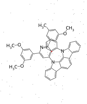 COc1cc(C)cc(-c2cc(-n3c4ccccc4c4ccc5c6ccccc6n(-c6ccccc6)c5c43)cc(-c3cc(OC)cc(OC)c3)n2)c1